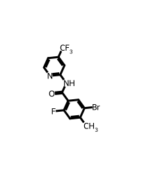 Cc1cc(F)c(C(=O)Nc2cc(C(F)(F)F)ccn2)cc1Br